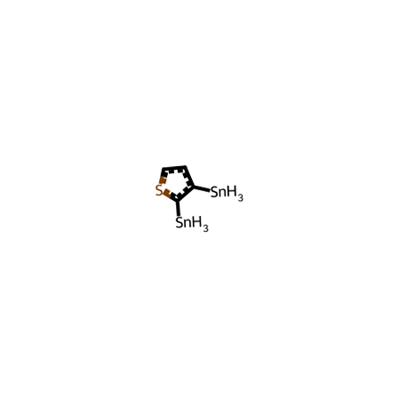 [SnH3][c]1ccs[c]1[SnH3]